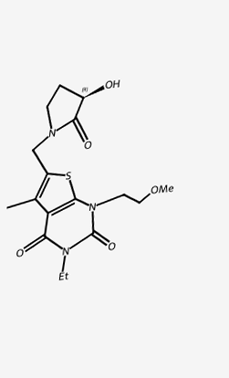 CCn1c(=O)c2c(C)c(CN3CC[C@@H](O)C3=O)sc2n(CCOC)c1=O